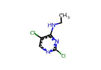 CCNc1nc(Cl)ncc1Cl